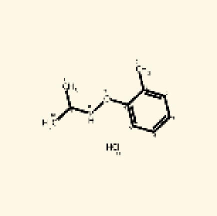 Cc1ccccc1OPC(C)C.Cl